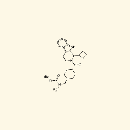 CN(C[C@H]1CC[C@H](C(=O)N2CCc3c([nH]c4ccccc34)C2C2CCC2)CC1)C(=O)OC(C)(C)C